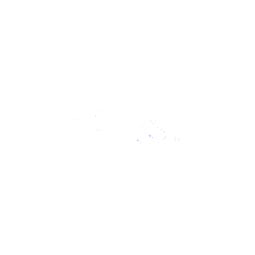 CC(C)(C)C(=O)Nc1nc(O)c2cc(CCc3ccc(C(=O)O)cc3)cnc2n1